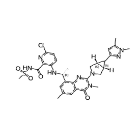 Cc1cc([C@@H](C)Nc2ccc(Cl)nc2C(=O)NS(C)(=O)=O)c2nc(N3C[C@@H]4C(c5cc(C)n(C)n5)[C@@H]4C3)n(C)c(=O)c2c1